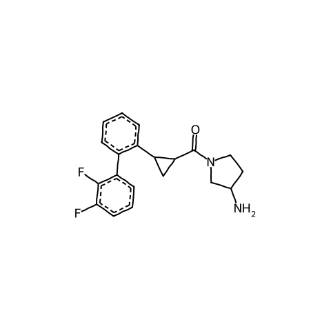 NC1CCN(C(=O)C2CC2c2ccccc2-c2cccc(F)c2F)C1